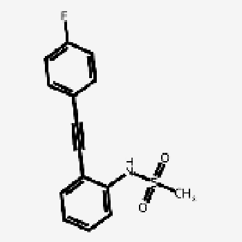 CS(=O)(=O)Nc1ccccc1C#Cc1ccc(F)cc1